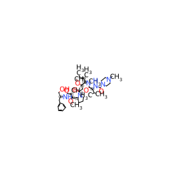 CC[C@H](C)[C@@H]([C@@H](CC(=O)N1CCC[C@H]1[C@H](OC)[C@@H](C)C(=O)N[C@H](CO)Cc1ccccc1)OC)N(C)C(=O)[C@@H](NC(=O)N1CCN(C)CC1)C(C)C